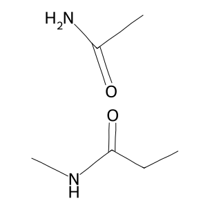 CC(N)=O.CCC(=O)NC